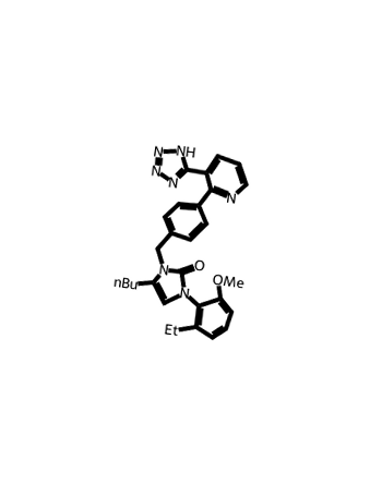 CCCCc1cn(-c2c(CC)cccc2OC)c(=O)n1Cc1ccc(-c2ncccc2-c2nnn[nH]2)cc1